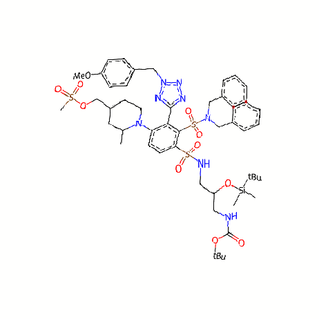 COc1ccc(Cn2nnc(-c3c(N4CCC(COS(C)(=O)=O)CC4C)ccc(S(=O)(=O)NCC(CNC(=O)OC(C)(C)C)O[Si](C)(C)C(C)(C)C)c3S(=O)(=O)N(Cc3ccccc3)Cc3ccccc3)n2)cc1